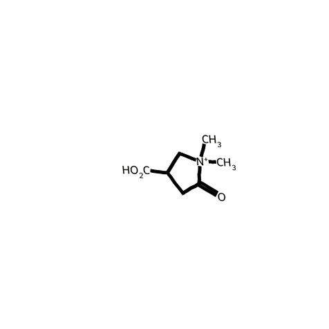 C[N+]1(C)CC(C(=O)O)CC1=O